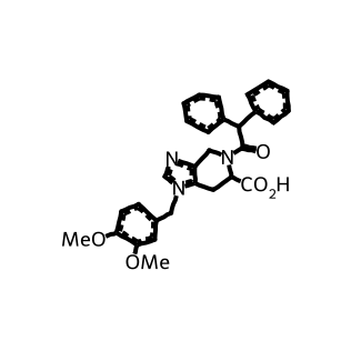 COc1ccc(Cn2cnc3c2CC(C(=O)O)N(C(=O)C(c2ccccc2)c2ccccc2)C3)cc1OC